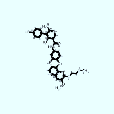 COCCOc1nc2c(Oc3ccc(NC(=O)c4cnc(C)c(-c5ccc(F)cc5)c4O)cc3F)ccnc2cc1OC